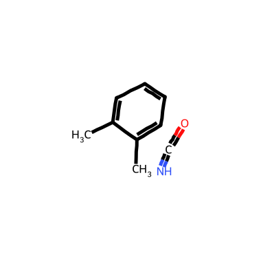 Cc1ccccc1C.N=C=O